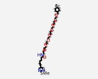 CSc1ncc(C#CCCCC(=O)NCCOCCOCCOCCOCCOCCOCCOCCOCC2CCC(C(C)=O)CC2)cn1